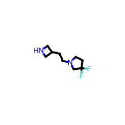 FC1(F)CCN(CCC2CNC2)C1